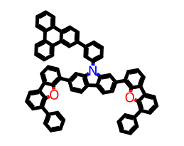 c1ccc(-c2cccc3c2oc2c(-c4ccc5c6ccc(-c7cccc8c7oc7c(-c9ccccc9)cccc78)cc6n(-c6cccc(-c7ccc8c9ccccc9c9ccccc9c8c7)c6)c5c4)cccc23)cc1